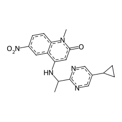 CC(Nc1cc(=O)n(C)c2ccc([N+](=O)[O-])cc12)c1ncc(C2CC2)cn1